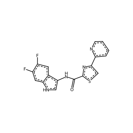 O=C(Nc1c[nH]c2cc(F)c(F)cc12)c1nc(-c2ccccn2)cs1